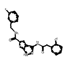 O=C(Cc1ccccc1Cl)Nc1n[nH]c2sc(C(=O)NCc3cccc(F)c3)cc12